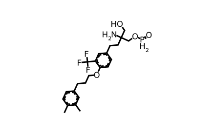 Cc1ccc(CCCOc2ccc(CCC(N)(CO)CO[PH2]=O)cc2C(F)(F)F)cc1C